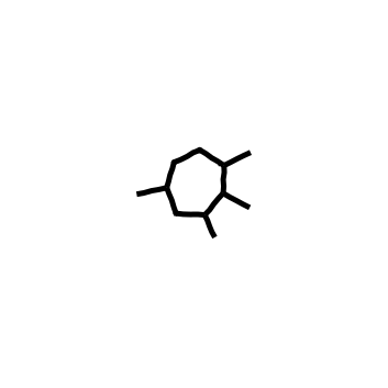 C[C]1CCC(C)CC(C)C1C